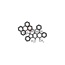 CC1C2=C(C(C)(C)c3ccccc32)C2(C)C3=C1C(C)c1ccccc1C3(C)c1ccccc1N2c1cccc(-c2cccc3cccc(-c4ccccc4)c23)c1